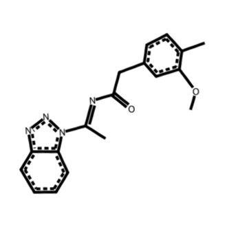 COc1cc(CC(=O)/N=C(\C)n2nnc3ccccc32)ccc1C